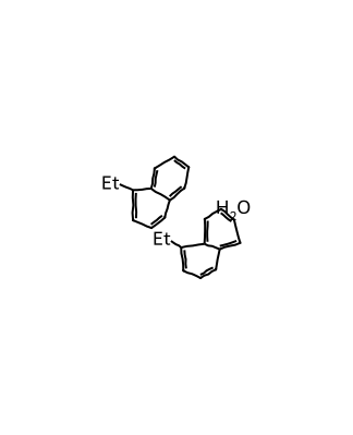 CCc1cccc2ccccc12.CCc1cccc2ccccc12.O